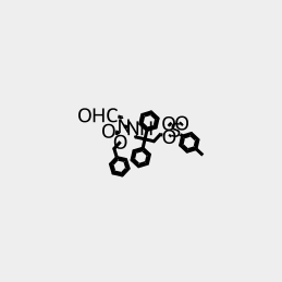 Cc1ccc(S(=O)(=O)OCCC(CNN(CC=O)C(=O)OCc2ccccc2)(c2ccccc2)c2ccccc2)cc1